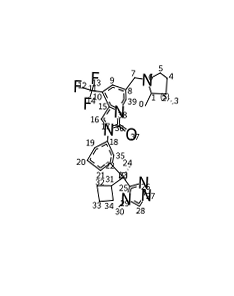 CC1[C@@H](C)CCN1Cc1cc(C(F)(F)F)c2cn(-c3cccc([C@@](C)(c4nncn4C)C4CCC4)c3)c(=O)n2c1